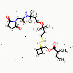 CCC(C)C(=O)OCC1(SSCCC(C)(C)OCCC(C)(C)NC(=O)CN2C(=O)CCC2=O)CCC1